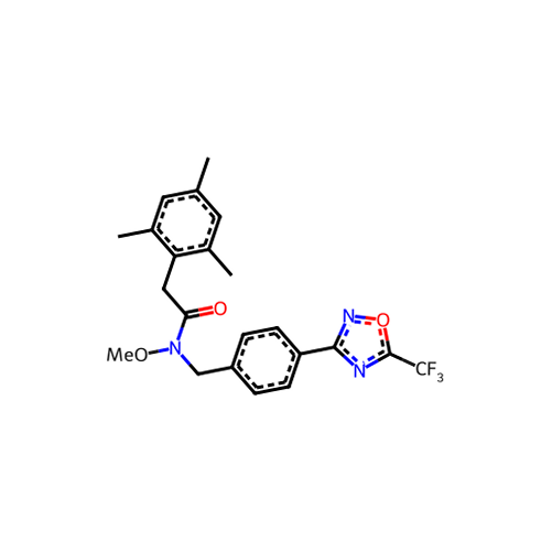 CON(Cc1ccc(-c2noc(C(F)(F)F)n2)cc1)C(=O)Cc1c(C)cc(C)cc1C